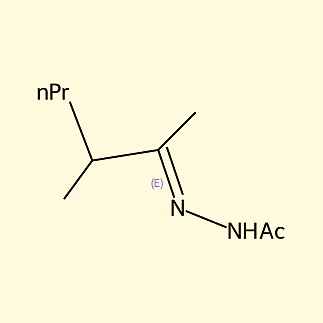 CCCC(C)/C(C)=N/NC(C)=O